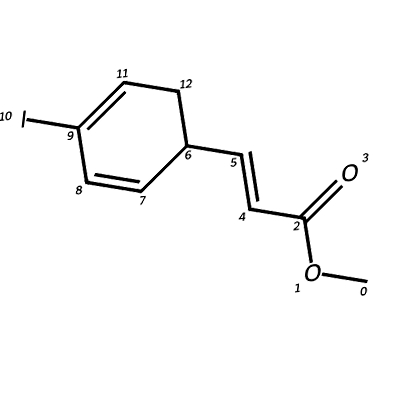 COC(=O)C=CC1C=CC(I)=CC1